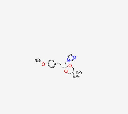 CCCCOc1ccc(CCC2(Cn3ccnc3)OCC(CCC)(CCC)CO2)cc1